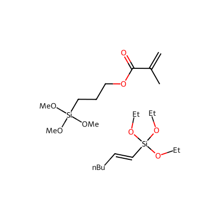 C=C(C)C(=O)OCCC[Si](OC)(OC)OC.CCCCC=C[Si](OCC)(OCC)OCC